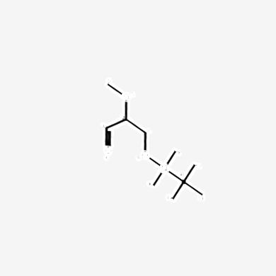 COC(C=O)CO[Si](C)(C)C(C)(C)C